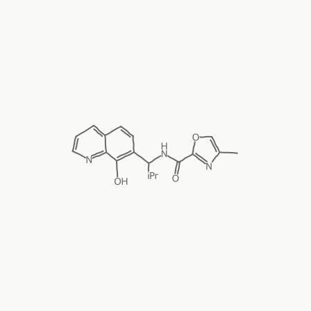 Cc1coc(C(=O)NC(c2ccc3cccnc3c2O)C(C)C)n1